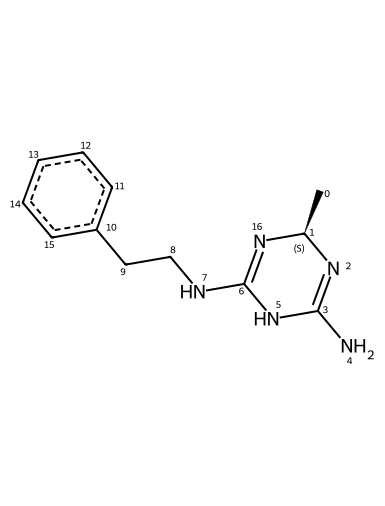 C[C@H]1N=C(N)NC(NCCc2ccccc2)=N1